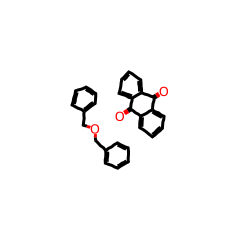 O=C1c2ccccc2C(=O)c2ccccc21.c1ccc(COCc2ccccc2)cc1